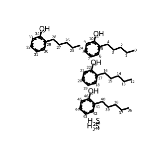 CCCCCc1ccccc1O.CCCCCc1ccccc1O.CCCCCc1ccccc1O.CCCCCc1ccccc1O.S.S